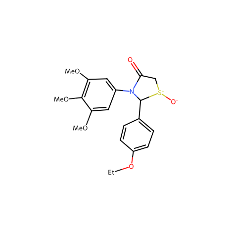 CCOc1ccc(C2N(c3cc(OC)c(OC)c(OC)c3)C(=O)C[S+]2[O-])cc1